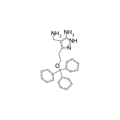 NCc1c(CCOC(c2ccccc2)(c2ccccc2)c2ccccc2)n[nH]c1N